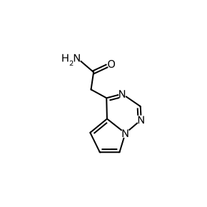 NC(=O)Cc1ncnn2cccc12